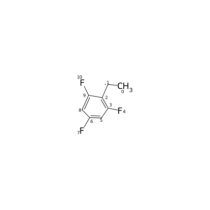 C[CH]c1c(F)cc(F)cc1F